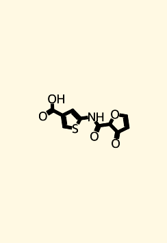 O=C(O)c1csc(NC(=O)C2OC=CC2=O)c1